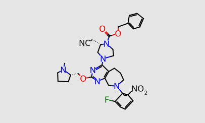 CN1CCC[C@H]1COc1nc2c(c(N3CCN(C(=O)OCc4ccccc4)[C@@H](CC#N)C3)n1)CCCN(c1c(F)cccc1[N+](=O)[O-])C2